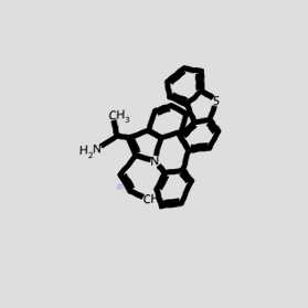 C/C=C\C1=C(C(C)N)C2C=CCCC2N1c1ccccc1-c1ccc2sc3ccccc3c2c1